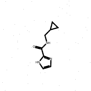 O=C(NCC1CC1)c1ncc[nH]1